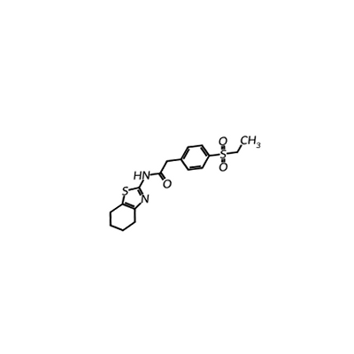 CCS(=O)(=O)c1ccc(CC(=O)Nc2nc3c(s2)CCCC3)cc1